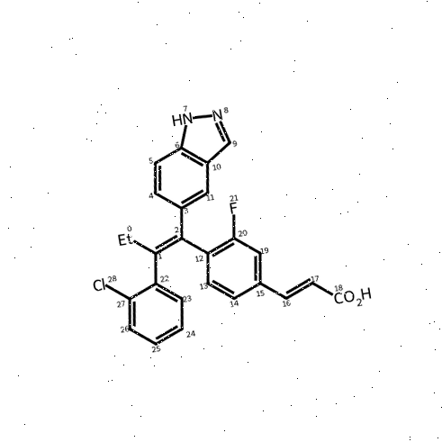 CC/C(=C(\c1ccc2[nH]ncc2c1)c1ccc(/C=C/C(=O)O)cc1F)c1ccccc1Cl